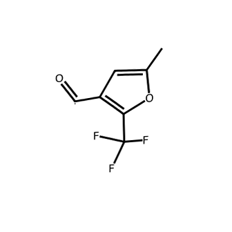 Cc1cc([C]=O)c(C(F)(F)F)o1